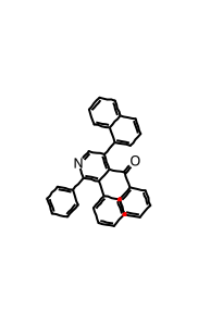 O=C(c1ccccc1)c1c(-c2cccc3ccccc23)cnc(-c2ccccc2)c1-c1ccccc1